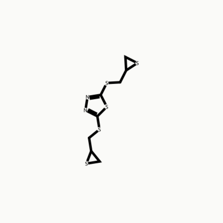 C(Sc1nnc(SCC2CS2)s1)C1CS1